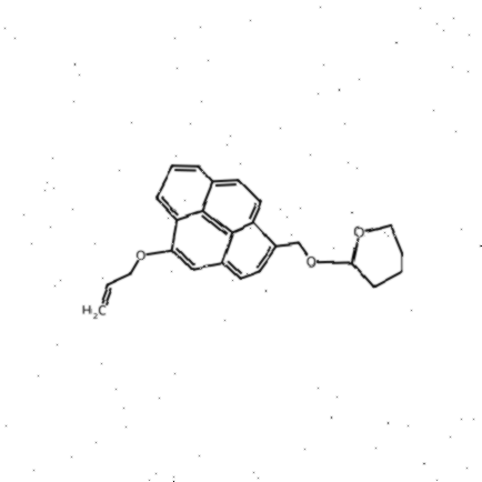 C=CCOc1cc2ccc(COC3CCCCO3)c3ccc4cccc1c4c23